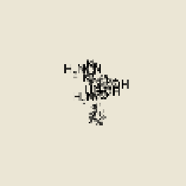 Nc1ncnc2c1ncn2[C@@H]1O[C@H](CO)C(O)[C@@H]1NC(=O)C(N)CCc1ccccc1